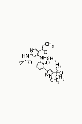 CCC(=O)c1cnc(NC(=O)C2CC2)cc1Nc1cccc(-c2cc(P(C)(C)=O)n(C)n2)c1OC